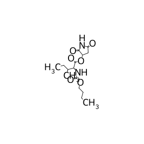 CCCCOC(=O)N[C@H](C(=O)OC1CC(=O)NC1=O)[C@@H](C)CC